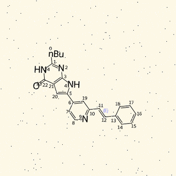 CCCCc1nc2[nH]c(-c3ccnc(/C=C/c4ccccc4)c3)cc2c(=O)[nH]1